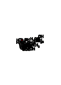 C[N+](C)(C)CCO.C[N+](C)(C)CCO.C[N+](C)(C)CCO.C[N+](C)(C)CCO.O.O=C([O-])CC(O)(CC(=O)[O-])C(=O)[O-].[Cl-]